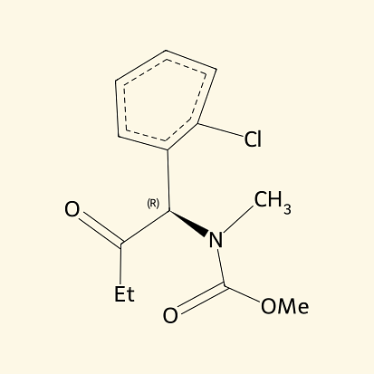 CCC(=O)[C@@H](c1ccccc1Cl)N(C)C(=O)OC